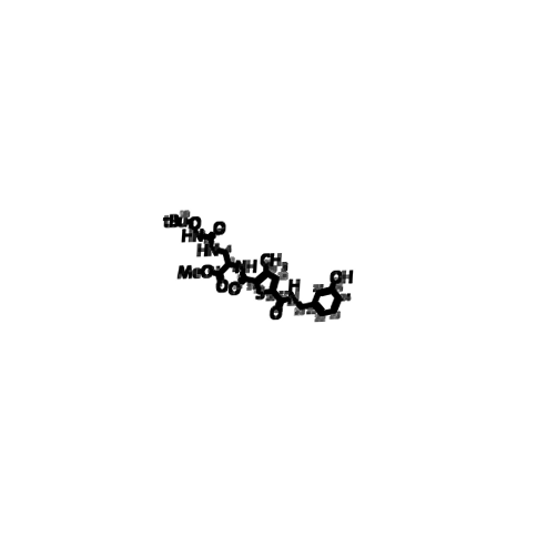 COC(=O)C(CNC(=O)NOC(C)(C)C)NC(=O)c1sc(C(=O)NCc2cccc(O)c2)cc1C